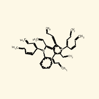 C=C/C=C\C(=C/C=C)N(/C(C=C)=c1\c(/C=C\C=C)c(C=C)n(C(/C=C\C=C)=C/C=C)\c1=C\C=C)c1ccccc1